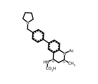 CC(=O)N1c2ccc(-c3ccc(CN4CCCC4)cc3)cc2[C@H](NC(=O)O)C[C@@H]1C